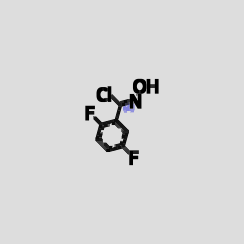 O/N=C(\Cl)c1cc(F)ccc1F